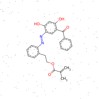 C=C(C)C(=O)OCCc1ccccc1N=Nc1cc(C(=O)c2ccccc2)c(O)cc1O